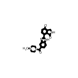 CN1CCN(C(=O)c2ccc3[nH]c(-c4ccc(Cl)c5c4C(=O)NC5)nc3c2)CC1